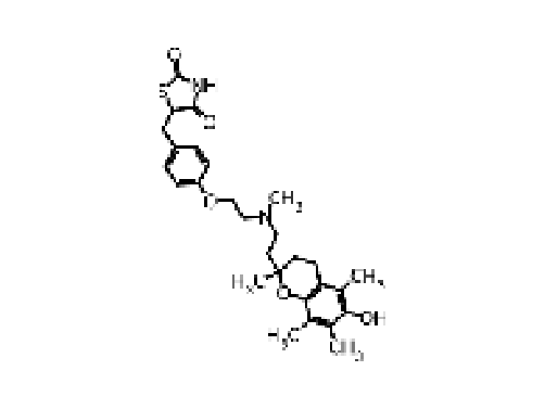 Cc1c(C)c2c(c(C)c1O)CCC(C)(CCN(C)CCOc1ccc(CC3SC(=O)NC3=O)cc1)O2